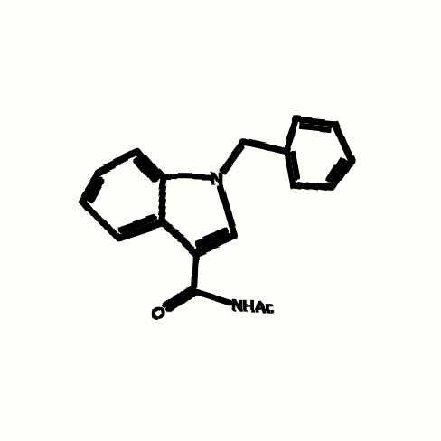 CC(=O)NC(=O)c1cn(Cc2ccccc2)c2ccccc12